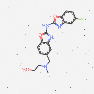 CN(CCO)Cc1ccc2oc(Nc3nc4cc(F)ccc4o3)nc2c1